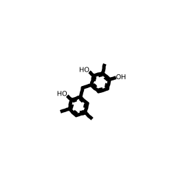 Cc1cc(C)c(O)c(Cc2ccc(O)c(C)c2O)c1